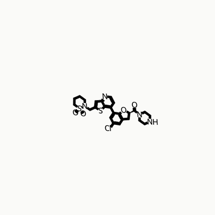 O=C([C@H]1Cc2cc(Cl)cc(-c3ccnc4cc(CN5CCCCS5(=O)=O)sc34)c2O1)N1CCNCC1